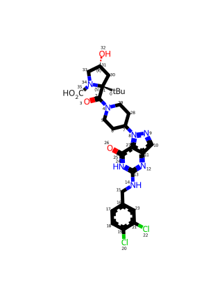 CC(C)(C)[C@]1(C(=O)N2CCC(n3ncc4nc(NCc5ccc(Cl)c(Cl)c5)[nH]c(=O)c43)CC2)C[C@@H](O)CN1C(=O)O